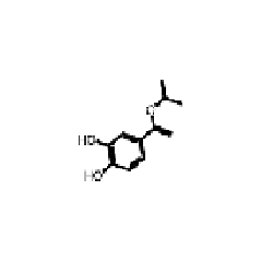 C=C(OC(C)C)c1ccc(O)c(O)c1